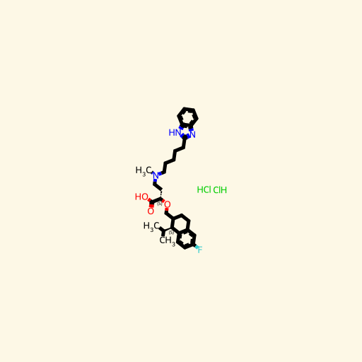 CC(C)[C@@H]1c2ccc(F)cc2CCC1CO[C@@H](CCN(C)CCCCCc1nc2ccccc2[nH]1)C(=O)O.Cl.Cl